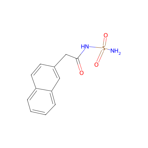 NS(=O)(=O)NC(=O)Cc1ccc2ccccc2c1